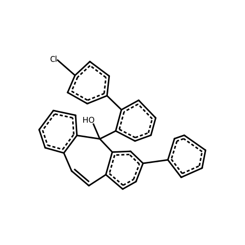 OC1(c2ccccc2-c2ccc(Cl)cc2)c2ccccc2C=Cc2ccc(-c3ccccc3)cc21